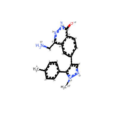 Cc1ccc(-c2c(-c3ccc4c(=O)[nH]nc(CN)c4c3)cnn2C)cc1